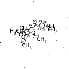 CCCOc1cc(OCCC)c(C(C)(C)C)cc1C=CC(=O)c1ccc(NC)cc1